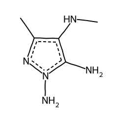 CNc1c(C)nn(N)c1N